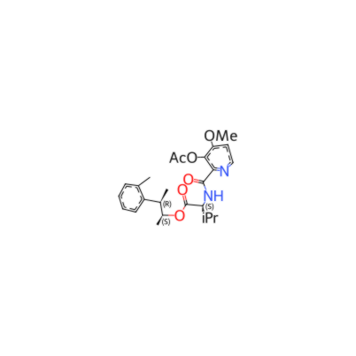 COc1ccnc(C(=O)N[C@H](C(=O)O[C@@H](C)[C@H](C)c2ccccc2C)C(C)C)c1OC(C)=O